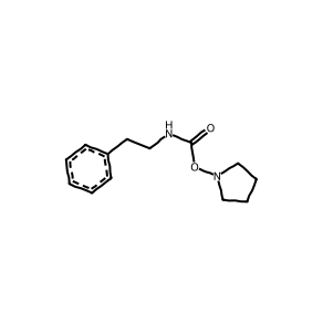 O=C(NCCc1ccccc1)ON1CCCC1